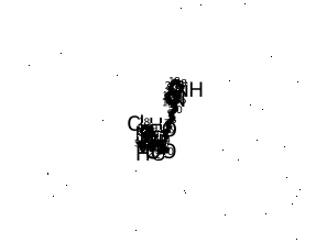 O=C(O)[C@H](CCOCCCCc1ccc2c(n1)NCCC2)NC(=O)C1(n2nc(Cl)cc2Cl)CC1